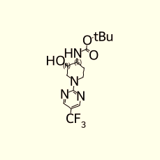 CC(C)(C)OC(=O)N[C@H]1CCN(c2ncc(C(F)(F)F)cn2)C[C@H]1O